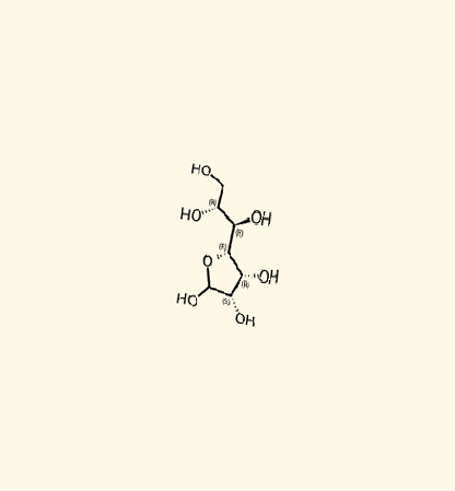 OC[C@@H](O)[C@@H](O)[C@H]1OC(O)[C@@H](O)[C@H]1O